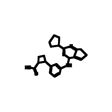 O=C(O)C1CCC1c1cccc(NC2N=C(C3CCCC3)N=C3CCC=C32)c1